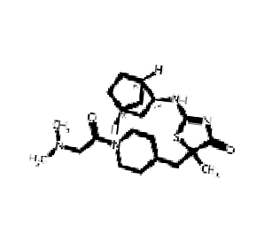 CN(C)CC(=O)N1CCC(CC2(C)SC(N[C@H]3C[C@@H]4CC[C@H]3C4)=NC2=O)CC1